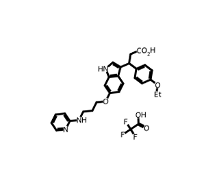 CCOc1ccc(C(CC(=O)O)c2c[nH]c3cc(OCCCNc4ccccn4)ccc23)cc1.O=C(O)C(F)(F)F